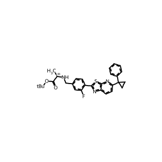 C[C@@H](NCc1ccc(-c2nc3ccc(C4(c5ccccc5)CC4)nc3s2)c(F)c1)C(=O)OC(C)(C)C